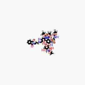 CN(C(=O)OC(C)(C)C)[C@@H]1[C@@H](O)[C@@H](O[C@H]2[C@H](NS(=O)(=O)CCNC(=O)OC(C)(C)C)C[C@H](NC(=O)OC(C)(C)C)C([C@H]3OC(CNCCCN4C(=O)c5ccccc5C4=O)=CC[C@H]3NC(=O)OC(C)(C)C)[C@@H]2O)OC[C@]1(C)O